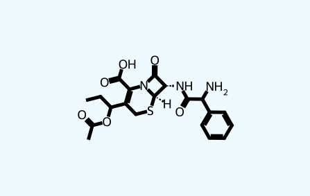 CCC(OC(C)=O)C1=C(C(=O)O)N2C(=O)[C@H](NC(=O)C(N)c3ccccc3)[C@H]2SC1